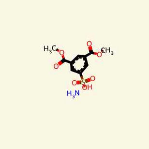 COC(=O)c1cc(C(=O)OC)cc(S(=O)(=O)O)c1.N